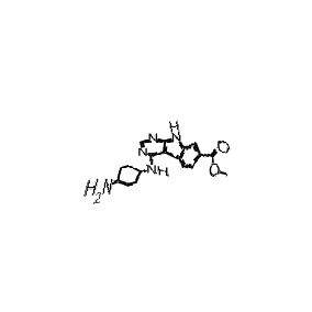 COC(=O)c1ccc2c(c1)[nH]c1ncnc(NC3CCC(N)CC3)c12